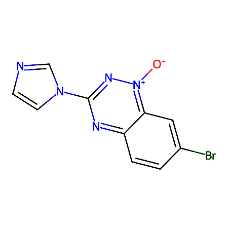 [O-][n+]1nc(-n2ccnc2)nc2ccc(Br)cc21